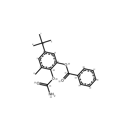 Cc1cc(C(C)(C)C)cc(OC(=O)c2ccccc2)c1OC(N)=O